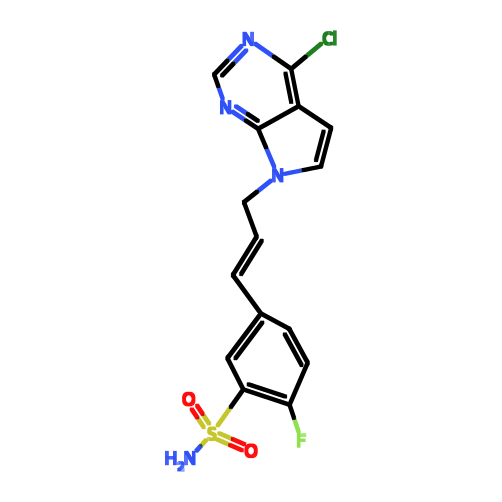 NS(=O)(=O)c1cc(/C=C/Cn2ccc3c(Cl)ncnc32)ccc1F